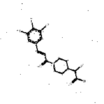 O=C(O)C(Br)C1CCN(C(=O)/C=C/c2cc(F)c(F)c(F)c2)CC1